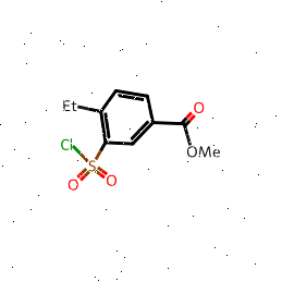 CCc1ccc(C(=O)OC)cc1S(=O)(=O)Cl